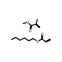 C=C(C)C(=O)OC.C=CC(=O)OCCCCCC